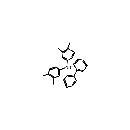 Cc1ccc(Nc2ccc(C)c(C)c2)cc1C.c1ccc(-c2ccccc2)cc1